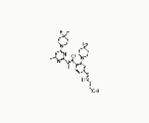 Cc1cc(N2CCC(F)(F)CC2)nc(NC(=O)c2ccc(SNCCO)cc2N2CCC3(CC2)CC3)n1